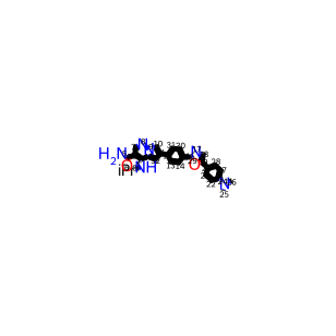 CC(C)Nc1c(C(N)=O)cnn2cc(-c3ccc(-c4ncc(-c5ccc(N(C)C)cc5)o4)cc3)cc12